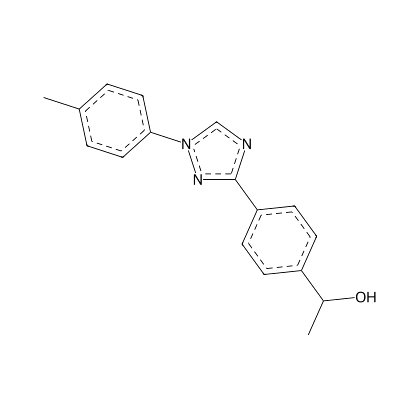 Cc1ccc(-n2cnc(-c3ccc(C(C)O)cc3)n2)cc1